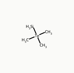 C[Te](C)(C)[SiH3]